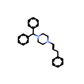 C(=CN1CCN(C(c2ccccc2)c2ccccc2)CC1)Cc1ccccc1